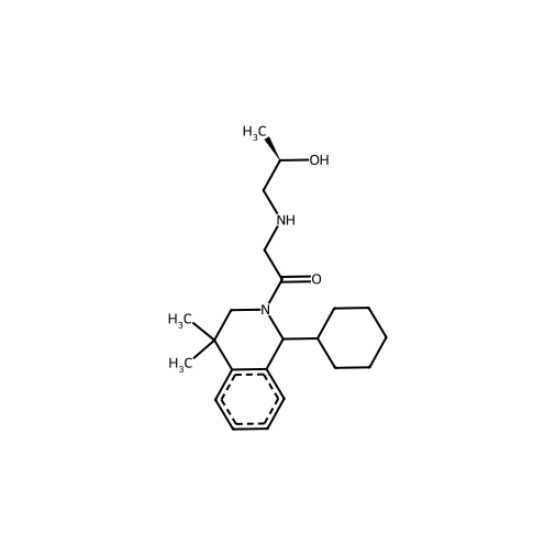 C[C@@H](O)CNCC(=O)N1CC(C)(C)c2ccccc2C1C1CCCCC1